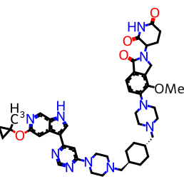 COc1c(N2CCN(C[C@H]3CC[C@H](CN4CCN(c5cc(-c6c[nH]c7cnc(OC8(C)CC8)cc67)ncn5)CC4)CC3)CC2)ccc2c1CN(C1CCC(=O)NC1=O)C2=O